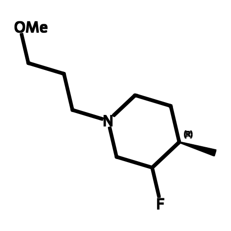 COCCCN1CC[C@@H](C)C(F)C1